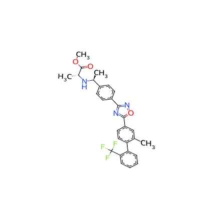 COC(=O)[C@@H](C)N[C@@H](C)c1ccc(-c2noc(-c3ccc(-c4ccccc4C(F)(F)F)c(C)c3)n2)cc1